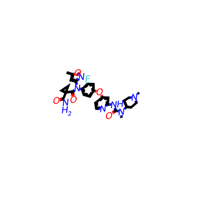 Cc1cc(N(C(=O)C2(C(N)=O)CC2)c2ccc(Oc3ccnc(NC(=O)N(C)C4CCN(C)CC4)c3)cc2F)no1